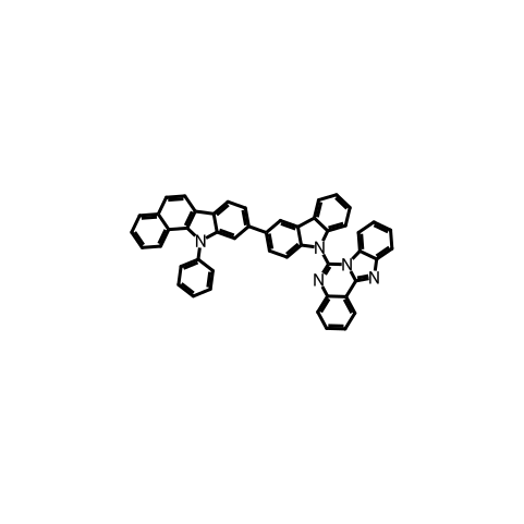 c1ccc(-n2c3cc(-c4ccc5c(c4)c4ccccc4n5-c4nc5ccccc5c5nc6ccccc6n45)ccc3c3ccc4ccccc4c32)cc1